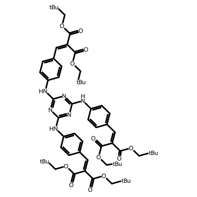 CC(C)(C)COC(=O)C(=Cc1ccc(Nc2nc(Nc3ccc(C=C(C(=O)OCC(C)(C)C)C(=O)OCC(C)(C)C)cc3)nc(Nc3ccc(C=C(C(=O)OCC(C)(C)C)C(=O)OCC(C)(C)C)cc3)n2)cc1)C(=O)OCC(C)(C)C